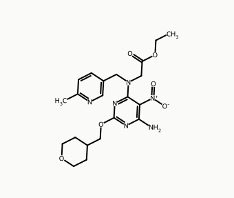 CCOC(=O)CN(Cc1ccc(C)nc1)c1nc(OCC2CCOCC2)nc(N)c1[N+](=O)[O-]